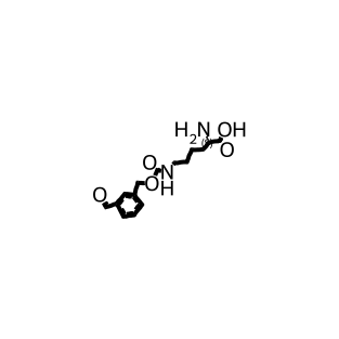 N[C@@H](CCCCNC(=O)OCc1cccc(C=O)c1)C(=O)O